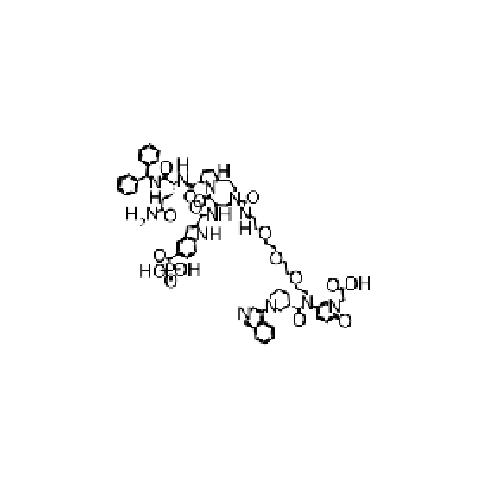 NC(=O)CC[C@@H](NC(=O)[C@H]1CC[C@H]2CCN(C(=O)NCCOCCOCCOCCN(C(=O)[C@@H]3CCCN(c4cncc5ccccc45)C3)c3ccc(=O)n(CC(=O)O)c3)C[C@@H](NC(=O)c3cc4cc(C(=O)P(=O)(O)O)ccc4[nH]3)C(=O)N21)C(=O)NC(c1ccccc1)c1ccccc1